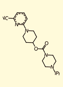 CC(C)N1CCN(C(=O)OC2CCN(c3cccc(C#N)n3)CC2)CC1